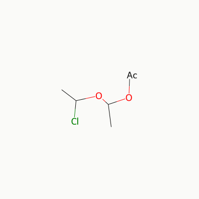 CC(=O)OC(C)OC(C)Cl